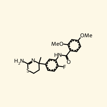 COc1ccc(C(=O)Nc2cc(C3(C)CCSC(N)=N3)ccc2F)c(OC)c1